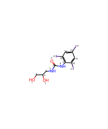 O=C(NCC(O)CO)Nc1c(I)cc(I)cc1I